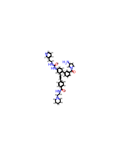 NC1CCN(C(=O)c2cccc(-c3ccc(NC(=O)NCCc4cccnc4)cc3C#Cc3ccc(C(=O)NCCN4CCCCC4)cc3)c2)C1